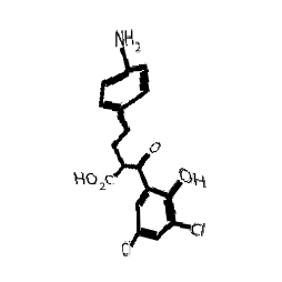 Nc1ccc(CCC(C(=O)O)C(=O)c2cc(Cl)cc(Cl)c2O)cc1